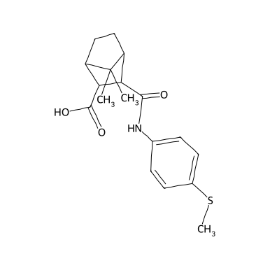 CSc1ccc(NC(=O)C2C(C(=O)O)C3CCC2C3(C)C)cc1